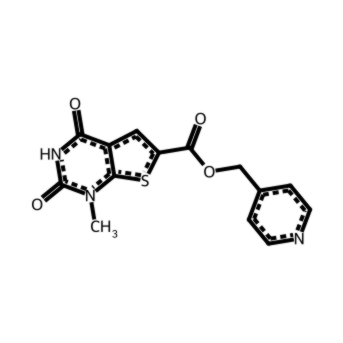 Cn1c(=O)[nH]c(=O)c2cc(C(=O)OCc3ccncc3)sc21